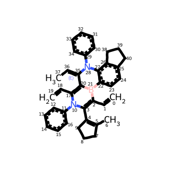 C=CC1=C(C2=C(C)CCC2)N(c2ccccc2)C(C=C)=C2B1c1ccc3c(c1N(c1ccccc1)/C2=C/C)CCC3